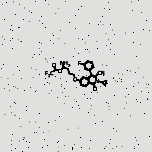 N#Cc1c(-c2cccc(F)c2)c2cc(OCCCC(N)OC(=O)C(F)(F)F)ccc2c(=O)n1C1CC1